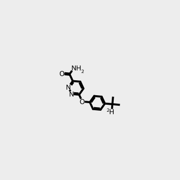 [2H]C(C)(C)c1ccc(Oc2ccc(C(N)=O)nn2)cc1